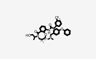 CC(CO)N1C[C@@H](C)[C@@H](CN(C)Cc2ccc(Oc3ccccc3)cc2)Oc2c(NC(=O)Cc3cccc(C(F)(F)F)c3)cccc2C1=O